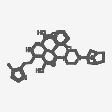 CN1C2CCC1CC(N1CCN(C(=O)C(c3c(Cl)cccc3Cl)C3C(C(=O)O)=CNC(CCc4nccn4C)=C3C(=O)O)CC1)C2